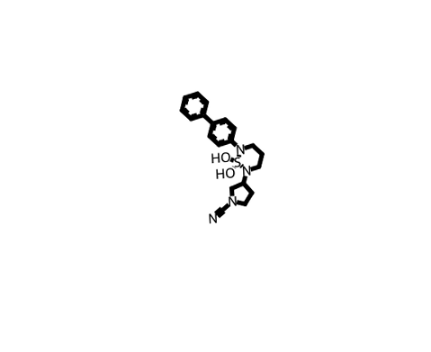 N#CN1CCC(N2CCCN(c3ccc(-c4ccccc4)cc3)S2(O)O)C1